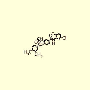 Cc1ccc(N(Cc2ccc(C(=O)Nc3cc(Cl)ccc3F)cc2)S(C)(=O)=O)cc1C